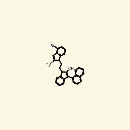 CC1=Cc2c(Br)cccc2C1CCC1C(C)=C(c2cccc3ccccc23)c2ccccc21